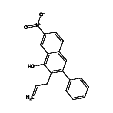 C=CCc1c(-c2ccccc2)cc2ccc([N+](=O)[O-])cc2c1O